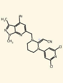 Cc1nn(C)c2nc(CN3CCCN(c4cc(Cl)nc(Cl)c4)/C3=C\C#N)cc(C(C)C)c12